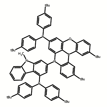 Cn1c2ccccc2c2c(N(c3ccc(C(C)(C)C)cc3)c3ccc(C(C)(C)C)cc3)cc(N3c4ccc(C(C)(C)C)cc4B4c5cc(C(C)(C)C)ccc5Oc5cc(N(c6ccc(C(C)(C)C)cc6)c6ccc(C(C)(C)C)cc6)cc3c54)cc21